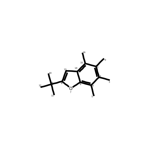 Cc1c(C)c(C)c2oc(C(C)(C)C)cc2c1C